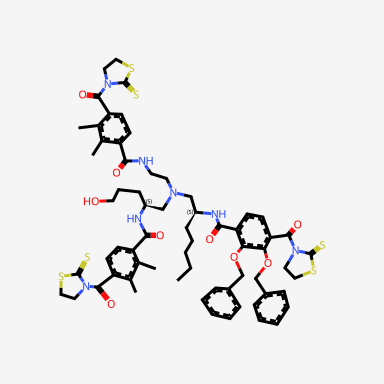 CCCCC[C@@H](CN(CCNC(=O)c1ccc(C(=O)N2CCSC2=S)c(C)c1C)C[C@H](CCCO)NC(=O)c1ccc(C(=O)N2CCSC2=S)c(C)c1C)NC(=O)c1ccc(C(=O)N2CCSC2=S)c(OCc2ccccc2)c1OCc1ccccc1